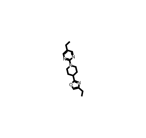 CCc1cnc(N2CCC(c3nc(CC)co3)CC2)nc1